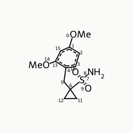 COc1ccc(CC2(S(N)(=O)=O)CC2)c(OC)c1